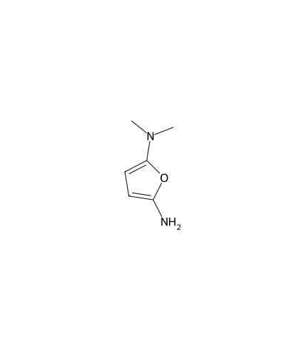 CN(C)c1ccc(N)o1